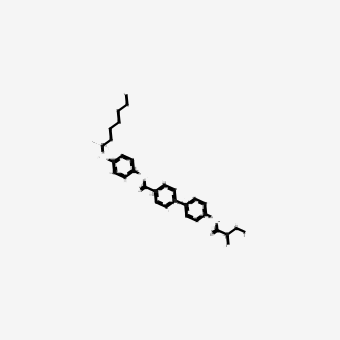 CCCCCC[C@H](C)Oc1ccc(OC(=O)c2ccc(-c3ccc(OC(=O)C(C)CC)cc3)cc2)cc1